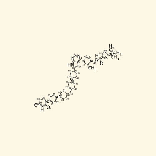 Cc1cc(-c2ncnc3[nH]c(-c4ccc(N5CCN(CC6CCN(c7ccc(N8CCC(=O)NC8=O)cc7)CC6)CC5)cc4)cc23)ccc1CNC(=O)c1cnc(C(C)(C)C)s1